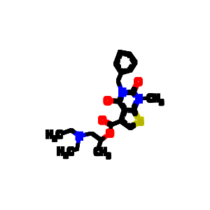 CCN(CC)CC(C)OC(=O)c1csc2c1c(=O)n(Cc1ccccc1)c(=O)n2C